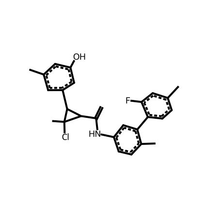 C=C(Nc1ccc(C)c(-c2ccc(C)cc2F)c1)C1C(c2cc(C)cc(O)c2)C1(C)Cl